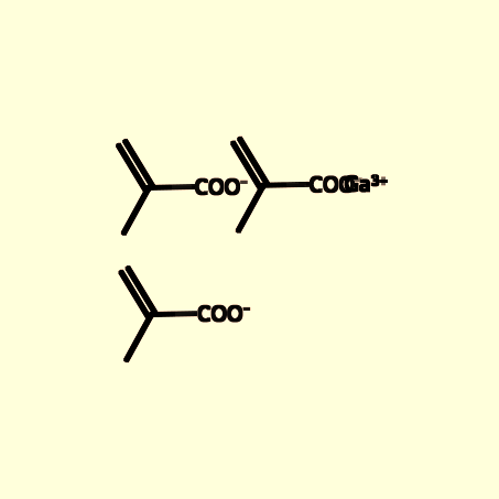 C=C(C)C(=O)[O-].C=C(C)C(=O)[O-].C=C(C)C(=O)[O-].[Ga+3]